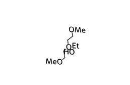 CCO.COCCOCCOC